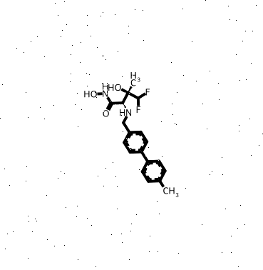 Cc1ccc(-c2ccc(CN[C@H](C(=O)NO)[C@](C)(O)C(F)F)cc2)cc1